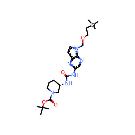 CC(C)(C)OC(=O)N1CCC[C@H](NC(=O)Nc2cnc3c(ccn3COCC[Si](C)(C)C)n2)C1